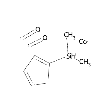 C[SiH](C)C1=CC=CC1.[C]=O.[C]=O.[Co]